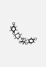 CC(C)(Oc1ccc(Cl)cc1)C(=O)N[C@H]1CC[C@H](Oc2ccc(Cl)nc2)CC1